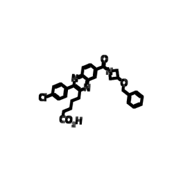 O=C(O)CCCCc1nc2cc(C(=O)N3CC(OCc4ccccc4)C3)ccc2nc1-c1ccc(Cl)cc1